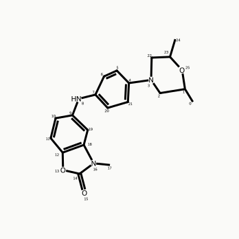 CC1CN(c2ccc(Nc3ccc4oc(=O)n(C)c4c3)cc2)CC(C)O1